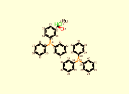 Cl.[C]=O.[Ru].c1ccc(P(c2ccccc2)c2ccccc2)cc1.c1ccc(P(c2ccccc2)c2ccccc2)cc1